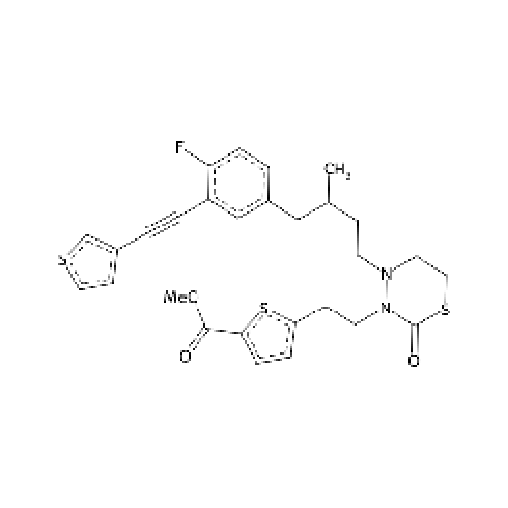 COC(=O)c1ccc(CCN2C(=O)SCCN2CCC(C)Cc2ccc(F)c(C#Cc3ccsc3)c2)s1